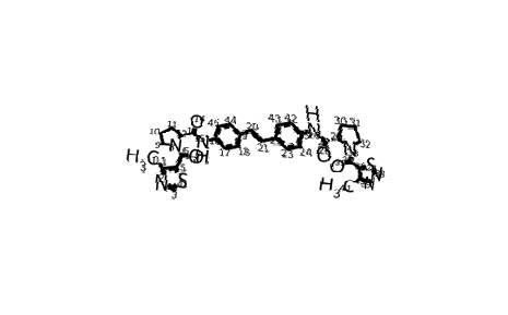 Cc1ncsc1C(=O)N1CCC[C@H]1C(=O)Nc1ccc(/C=C/c2ccc(NC(=O)[C@@H]3CCCN3C(=O)c3snnc3C)cc2)cc1